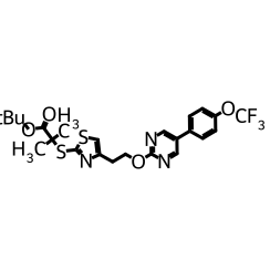 CC(C)(C)OC(=O)C(C)(C)Sc1nc(CCOc2ncc(-c3ccc(OC(F)(F)F)cc3)cn2)cs1